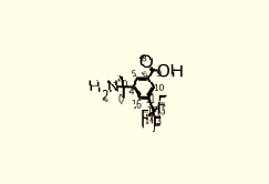 CC(C)(N)c1cc(C(=O)O)cc(C(F)(F)F)c1